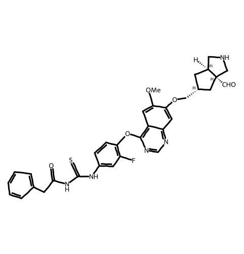 COc1cc2c(Oc3ccc(NC(=S)NC(=O)Cc4ccccc4)cc3F)ncnc2cc1OC[C@@H]1C[C@H]2CNC[C@@]2(C=O)C1